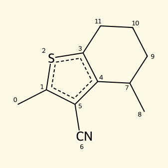 Cc1sc2c(c1C#N)C(C)CCC2